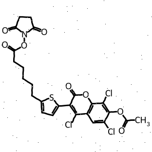 CC(=O)Oc1c(Cl)cc2c(Cl)c(-c3ccc(CCCCCC(=O)ON4C(=O)CCC4=O)s3)c(=O)oc2c1Cl